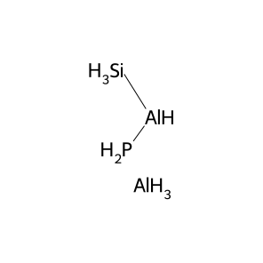 [AlH3].[SiH3][AlH][PH2]